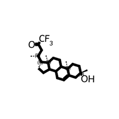 C[C@H](CC(=O)C(F)(F)F)[C@H]1CCC2C3CC=C4C[C@@](C)(O)CC[C@]4(C)C3CC[C@@]21C